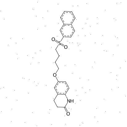 O=C1CCc2cc(OCCCCS(=O)(=O)c3ccc4ccccc4c3)ccc2N1